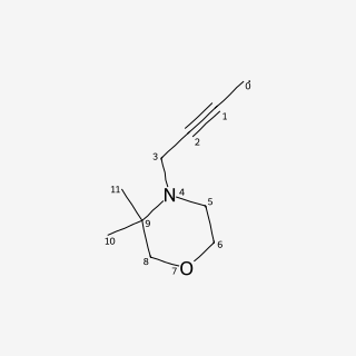 [CH2]C#CCN1CCOCC1(C)C